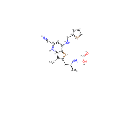 Cc1c(C[C@H](C)N)sc2c(NCc3cccs3)cc(C#N)nc12.O=CO